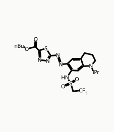 CCCCOC(=O)c1nnc(N=Nc2cc3c(cc2NS(=O)(=O)CC(F)(F)F)N(C(C)C)CCC3)s1